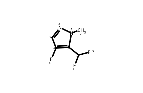 Cn1n[c]c(F)c1C(F)F